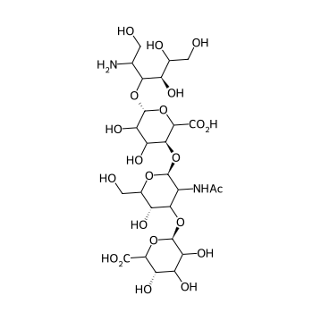 CC(=O)NC1C(O[C@@H]2OC(C(=O)O)[C@@H](O)C(O)C2O)[C@H](O)C(CO)O[C@H]1O[C@@H]1C(C(=O)O)O[C@@H](OC(C(N)CO)[C@H](O)C(O)CO)C(O)C1O